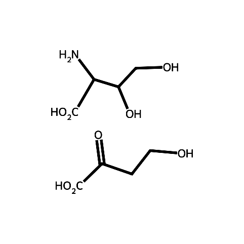 NC(C(=O)O)C(O)CO.O=C(O)C(=O)CCO